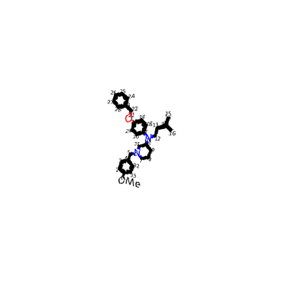 COc1ccc(CN2CCCC(N(CC=C(C)C)c3ccc(OCc4ccccc4)cc3)C2)cc1